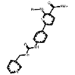 CNC(=O)c1ccc(-c2ccc(NC(=O)NCc3cccnc3)cc2)nc1NC(C)C